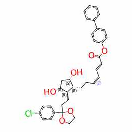 O=C(C=C/C=C\CC[C@@H]1[C@@H](CCC2(c3ccc(Cl)cc3)OCCO2)[C@H](O)C[C@@H]1O)Oc1ccc(-c2ccccc2)cc1